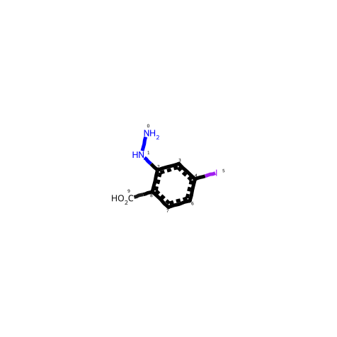 NNc1cc(I)ccc1C(=O)O